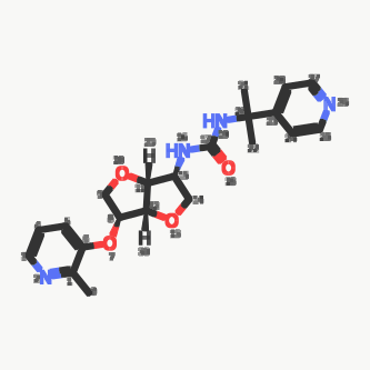 Cc1ncccc1O[C@H]1CO[C@H]2[C@@H]1OC[C@@H]2NC(=O)NC(C)(C)c1ccncc1